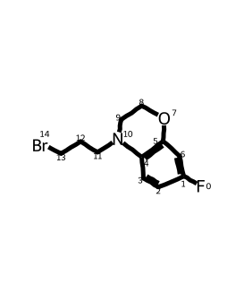 Fc1ccc2c(c1)OCCN2CCCBr